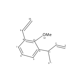 [CH2]C(C=C)c1cccc(C=C)c1OC